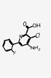 Nc1cc(-c2ccccc2F)nc(C(=O)O)c1Cl